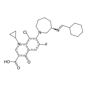 O=C(O)c1cn(C2CC2)c2c(Cl)c(N3CCCC[C@@H](/N=C/C4CCCCC4)C3)c(F)cc2c1=O